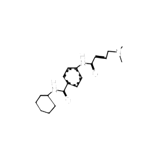 CN(C)C/C=C/C(=O)Nc1ccc(C(=O)NC2CCCCC2)cc1